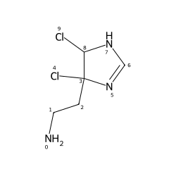 NCCC1(Cl)N=CNC1Cl